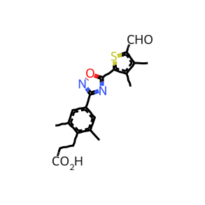 Cc1cc(-c2noc(-c3sc(C=O)c(C)c3C)n2)cc(C)c1CCC(=O)O